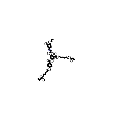 C=CC(=O)OCCCCCCOC(=O)c1cc(OC(=O)c2ccc(OCCCCCCOC(=O)C(=C)C)cc2)ccc1OC(=O)/C=C/c1ccc(OCCC)c(OC)c1